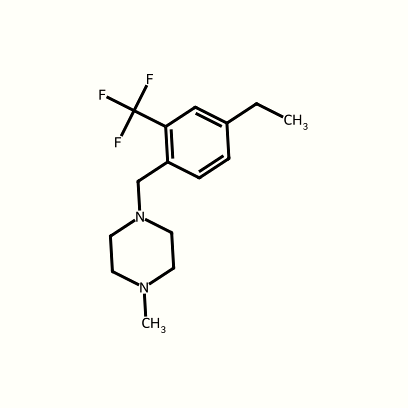 CCc1ccc(CN2CCN(C)CC2)c(C(F)(F)F)c1